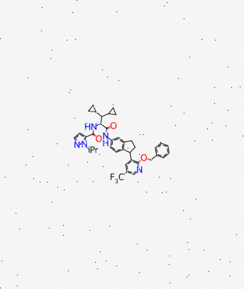 CC(C)n1nccc1C(=O)N[C@H](C(=O)Nc1ccc2c(c1)CCC2c1cc(C(F)(F)F)cnc1OCc1ccccc1)C(C1CC1)C1CC1